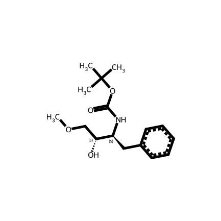 COC[C@@H](O)[C@H](Cc1ccccc1)NC(=O)OC(C)(C)C